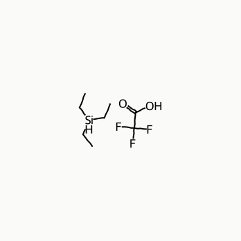 CC[SiH](CC)CC.O=C(O)C(F)(F)F